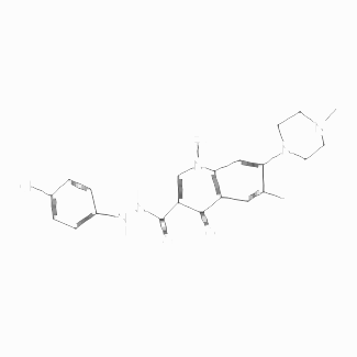 CCn1cc(C(=O)NNc2ccc(Cl)cc2)c(=O)c2cc(F)c(N3CCN(C)CC3)cc21